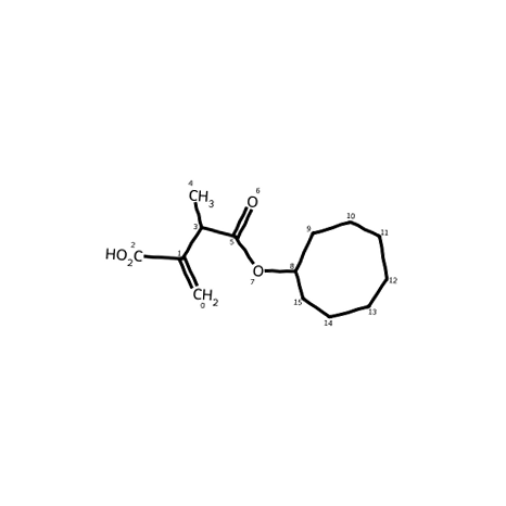 C=C(C(=O)O)C(C)C(=O)OC1CCCCCCC1